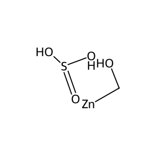 O=S(O)O.O[CH2][Zn]